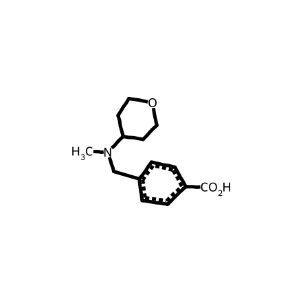 CN(Cc1ccc(C(=O)O)cc1)C1CCOCC1